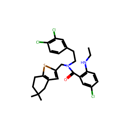 CCNc1ccc(Cl)cc1C(=O)N(CCc1ccc(Cl)c(Cl)c1)Cc1cc2c(s1)CCC(C)(C)C2